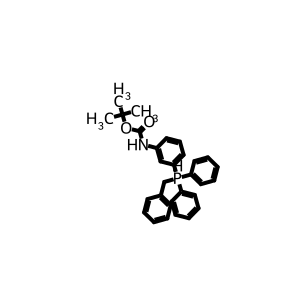 CC(C)(C)OC(=O)Nc1cccc([PH](Cc2ccccc2)(c2ccccc2)c2ccccc2)c1